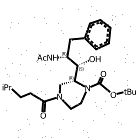 CC(=O)N[C@H](Cc1ccccc1)[C@H](O)[C@H]1CN(C(=O)CCC(C)C)CCN1C(=O)OC(C)(C)C